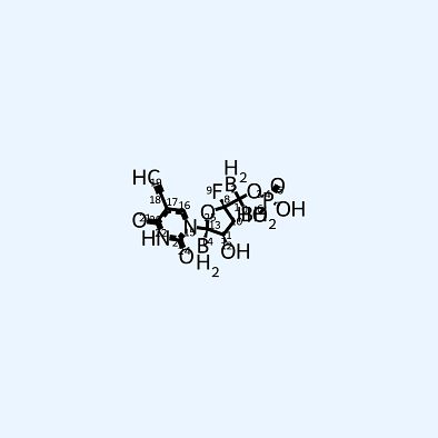 BC(B)(OP(=O)(O)O)[C@]1(F)C[C@@H](O)[C@](B)(n2cc(C#C)c(=O)[nH]c2=O)O1